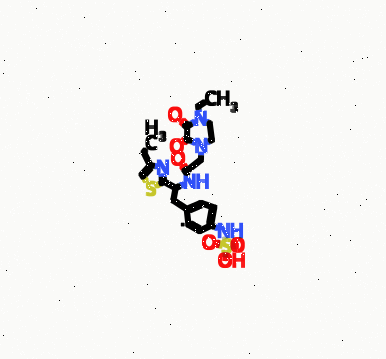 CCc1csc(C(Cc2[c]cc(NS(=O)(=O)O)cc2)NC(=O)CN2CCN(CC)C(=O)C2=O)n1